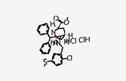 COC(=O)[C@H]1C[C@H]2CCN1[C@H](C(c1ccccc1)c1ccccc1)[C@@H]2NCc1cc(SC)ccc1OC.Cl.Cl